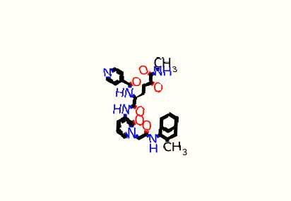 CNC(=O)C(=O)CC[C@H](NC(=O)c1ccncc1)C(=O)Nc1cccn(CC(=O)NC2C(C)CC3CCCC2C3)c1=O